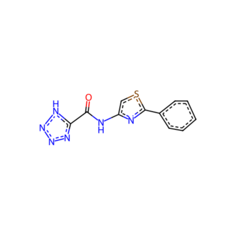 O=C(Nc1csc(-c2ccccc2)n1)c1nnn[nH]1